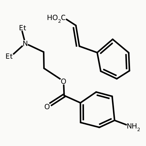 CCN(CC)CCOC(=O)c1ccc(N)cc1.O=C(O)/C=C/c1ccccc1